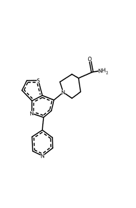 NC(=O)C1CCN(c2cc(-c3ccncc3)nc3ccsc23)CC1